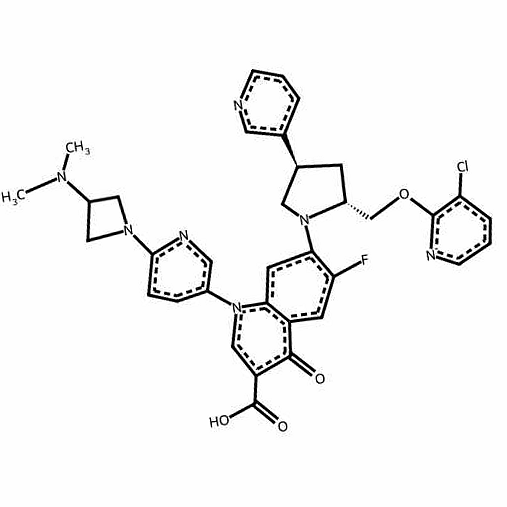 CN(C)C1CN(c2ccc(-n3cc(C(=O)O)c(=O)c4cc(F)c(N5C[C@@H](c6cccnc6)C[C@@H]5COc5ncccc5Cl)cc43)cn2)C1